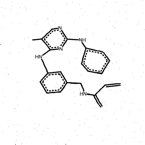 C=CC(=C)NCc1cccc(Nc2nc(Nc3ccccc3)ncc2C)c1